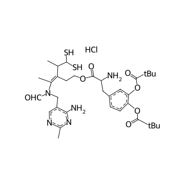 CC(=C(CCOC(=O)C(N)Cc1ccc(OC(=O)C(C)(C)C)c(OC(=O)C(C)(C)C)c1)C(C)C(S)S)N(C=O)Cc1cnc(C)nc1N.Cl